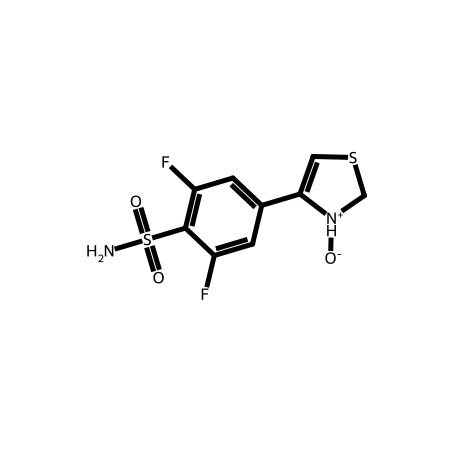 NS(=O)(=O)c1c(F)cc(C2=CSC[NH+]2[O-])cc1F